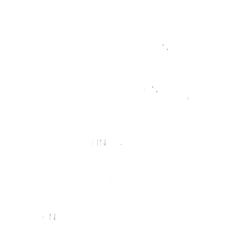 N#Cc1cccc(C(=O)N[C@]23CCC[C@](NC(=O)c4ccccn4)(CC2)C3)c1